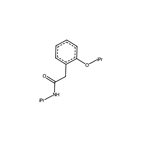 CC(C)NC(=O)Cc1ccccc1OC(C)C